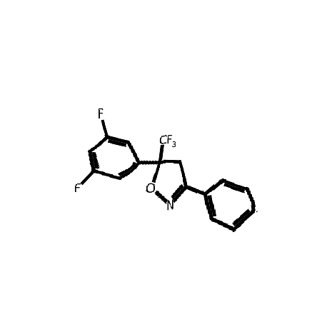 Fc1cc(F)cc(C2(C(F)(F)F)CC(c3cc[c]cc3)=NO2)c1